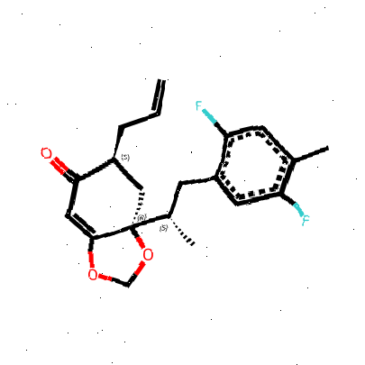 C=CC[C@H]1C[C@]2([C@@H](C)Cc3cc(F)c(C)cc3F)OCOC2=CC1=O